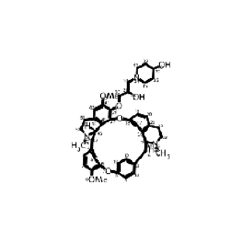 COc1ccc2cc1Oc1ccc(cc1)C[C@H]1c3cc(ccc3CCN1C)Oc1c(OCC(O)CN3CCC(O)CC3)c(OC)cc3c1[C@H](C2)N(C)CC3